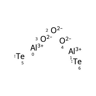 [Al+3].[Al+3].[O-2].[O-2].[O-2].[Te].[Te]